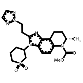 COC(=O)N1c2ccc3c(nc(CCn4nccn4)n3C3CCCS(=O)(=O)C3)c2CC[C@@H]1C